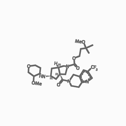 COC1COCCC1N[C@@H]1C[C@H]2CN(C(=O)OCCC(C)(C)OC)C[C@@]2(C(=O)N2CCc3ncc(C(F)(F)F)cc3C2)C1